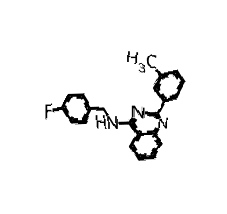 Cc1cccc(-c2nc(NCc3ccc(F)cc3)c3ccccc3n2)c1